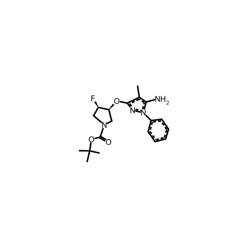 Cc1c(O[C@H]2CN(C(=O)OC(C)(C)C)C[C@H]2F)nn(-c2ccccc2)c1N